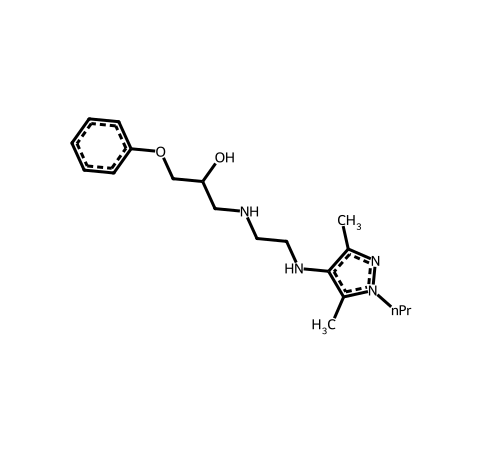 CCCn1nc(C)c(NCCNCC(O)COc2ccccc2)c1C